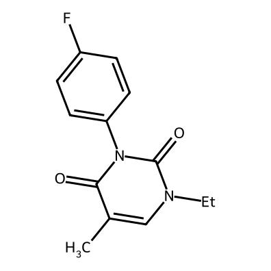 CCn1cc(C)c(=O)n(-c2ccc(F)cc2)c1=O